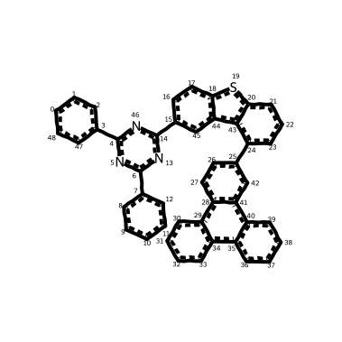 c1ccc(-c2nc(-c3ccccc3)nc(-c3ccc4sc5cccc(-c6ccc7c8ccccc8c8ccccc8c7c6)c5c4c3)n2)cc1